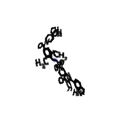 Cc1cc(C(=O)N2CCC(C)(O)CC2)cc(C)c1/C=C/S(=O)(=O)N1CCC2(CC1)N=C(c1ccc3cc[nH]c3c1)NC2=O